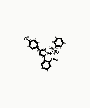 COc1ccccc1-c1cc(-c2ccc(Cl)cc2)nn1NS(=O)(=O)c1ccccc1